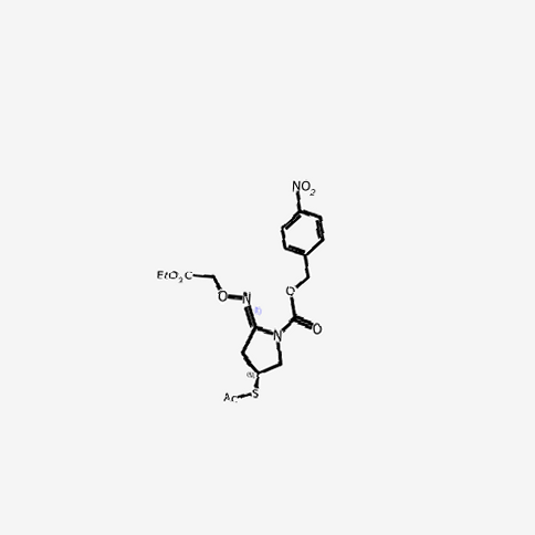 CCOC(=O)CO/N=C1\C[C@H](SC(C)=O)CN1C(=O)OCc1ccc([N+](=O)[O-])cc1